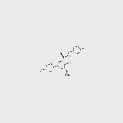 COc1cc(C2OCC(C)CS2)nc(C(=O)NCc2ccc(F)cc2)c1O